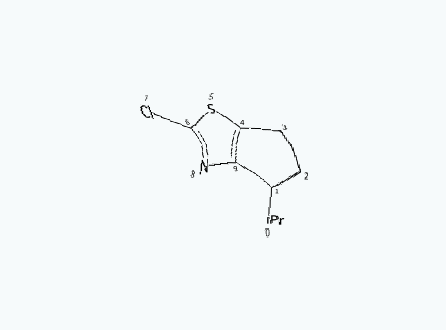 CC(C)C1CCc2sc(Cl)nc21